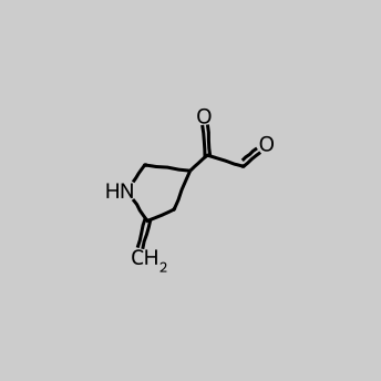 C=C1CC(C(=O)C=O)CN1